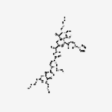 CCCCC[C@@H](C(=O)NCNC(=O)c1ccc(-c2ccc(C(=O)N[C@@H](CC(=O)OCCCC)C(=O)OCCCC)c(OCC)c2)o1)[C@@H](CC)N(C=O)OC(=O)c1ccc(-n2cccc2)cc1